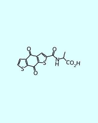 CC(NC(=O)c1cc2c(s1)C(=O)c1sccc1C2=O)C(=O)O